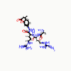 Cc1cc(=O)oc2cc(NC(=O)[C@H](CCCNC(=N)N)NC(=O)[C@H](CCCNC(=N)N)NC(=O)[C@H](C)N)ccc12